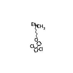 CCN(C)CCCCCCOc1cccc(-c2c(Cl)cccc2Cl)c1